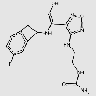 NC(=O)NCCNc1nonc1/C(=N\O)NC1Cc2ccc(F)cc21